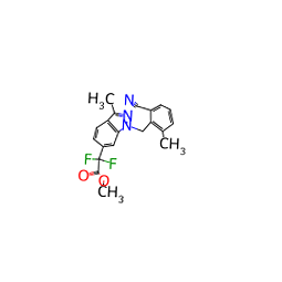 COC(=O)C(F)(F)c1ccc2c(C)nn(Cc3c(C)cccc3C#N)c2c1